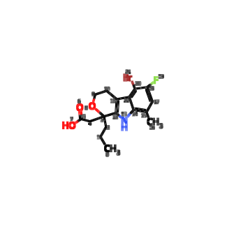 CCCC1(CC(=O)O)OCCc2c1[nH]c1c(C)cc(F)c(Br)c21